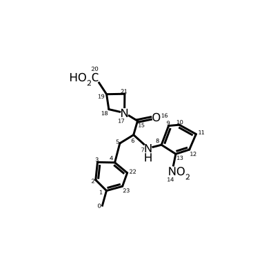 Cc1ccc(CC(Nc2ccccc2[N+](=O)[O-])C(=O)N2CC(C(=O)O)C2)cc1